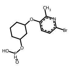 Cc1nc(Br)ccc1OC1CCCC(O[PH](=O)O)C1